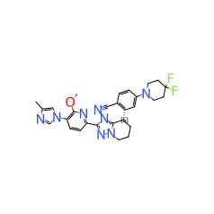 COc1nc(-c2nc3n(n2)CCC[C@H]3c2cc(N3CCC(F)(F)CC3)ccc2C#N)ccc1-n1cnc(C)c1